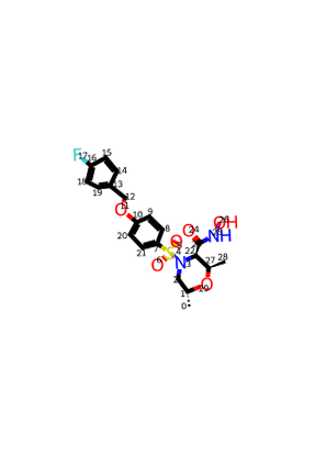 C[C@@H]1CN(S(=O)(=O)c2ccc(OCc3ccc(F)cc3)cc2)[C@@H](C(=O)NO)[C@@H](C)O1